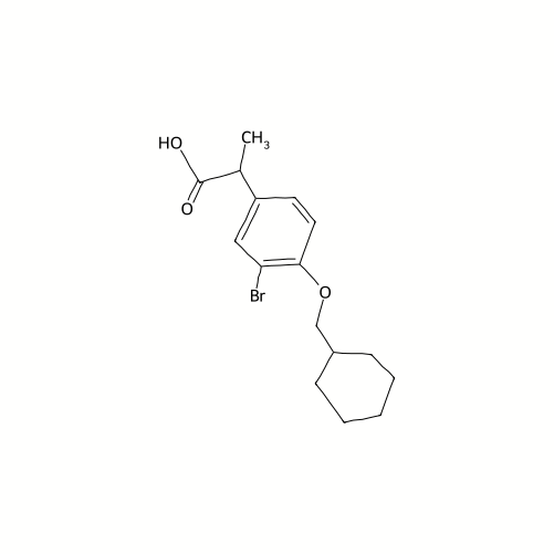 CC(C(=O)O)c1ccc(OCC2CCCCC2)c(Br)c1